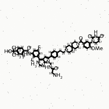 COc1ccc(C(=O)N2CCC3(CCN(CCc4ccc(-c5cc6c(-c7cc(F)cc(NC(=O)c8ccc(C(C)(C)O)cc8F)c7C)ncnc6n5CNC(=O)CN)cc4)CC3)CC2)cc1N1CCC(=O)NC1=O